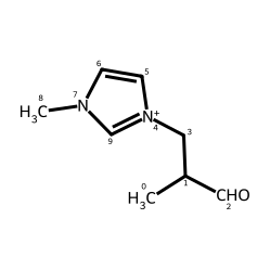 CC(C=O)C[n+]1ccn(C)c1